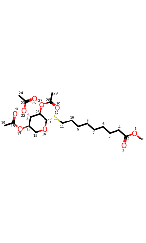 COC(=O)CCCCCCCCS[C@@H]1OC[C@@H](OC(C)=O)[C@H](OC(C)=O)[C@H]1OC(C)=O